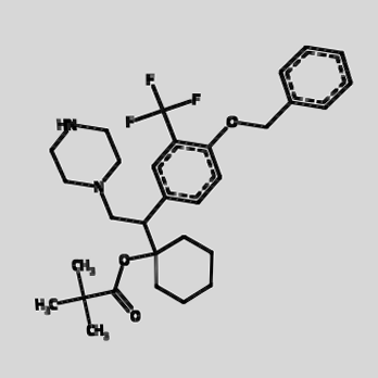 CC(C)(C)C(=O)OC1(C(CN2CCNCC2)c2ccc(OCc3ccccc3)c(C(F)(F)F)c2)CCCCC1